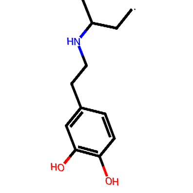 [CH2]CC(C)NCCc1ccc(O)c(O)c1